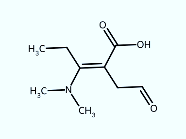 CCC(=C(CC=O)C(=O)O)N(C)C